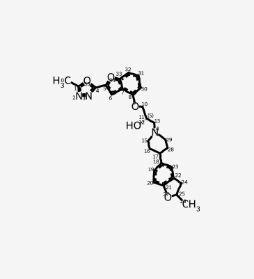 Cc1nnc(-c2cc3c(OC[C@@H](O)CN4CCC(c5ccc6c(c5)CC(C)O6)CC4)cccc3o2)o1